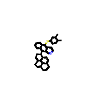 Cc1ccc(Sc2c3ccccc3c(C3CC=C4CC=C5CC=Cc6ccc3c4c65)c3cnccc23)cc1C